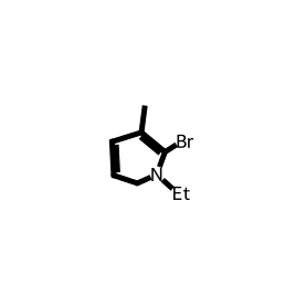 CCN1CC=CC(C)=C1Br